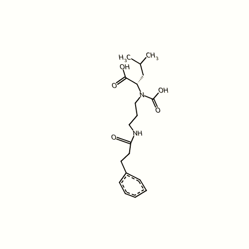 CC(C)C[C@@H](C(=O)O)N(CCCNC(=O)CCc1ccccc1)C(=O)O